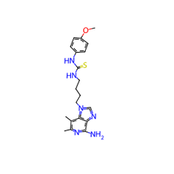 COc1ccc(NC(=S)NCCCCn2cnc3c(N)nc(C)c(C)c32)cc1